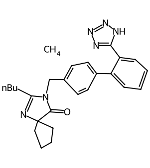 C.CCCCC1=NC2(CCCC2)C(=O)N1Cc1ccc(-c2ccccc2-c2nnn[nH]2)cc1